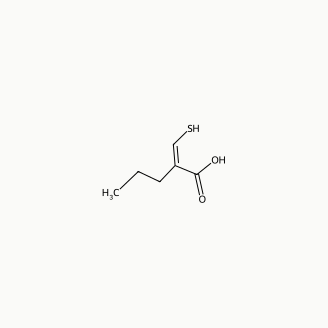 CCCC(=CS)C(=O)O